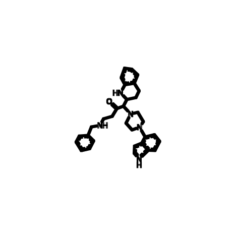 O=C(CCNCc1ccccc1)C(C1CCc2ccccc2N1)N1CCN(c2cccc3[nH]ccc23)CC1